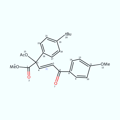 COC(=O)C(/C=C/C(=O)c1ccc(OC)cc1)(OC(C)=O)c1ccc(C(C)(C)C)cc1